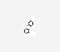 O=Cc1ccccc1Sc1ccc(Cl)cc1Cl